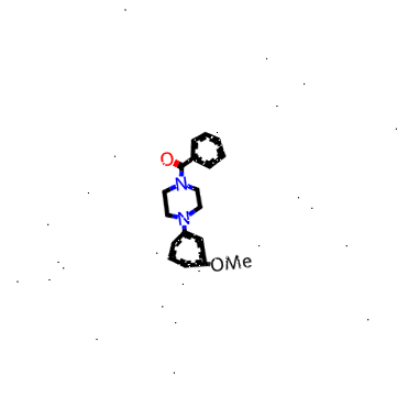 COc1cccc(N2CCN(C(=O)c3ccccc3)CC2)c1